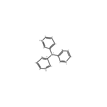 c1cncc(N(c2cccnc2)c2cccnc2)c1